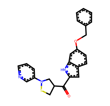 O=C(c1cc2ccc(OCc3ccccc3)cc2[nH]1)C1CSN(c2cccnc2)C1